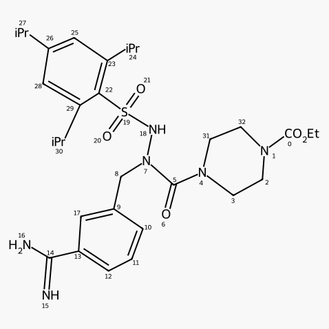 CCOC(=O)N1CCN(C(=O)N(Cc2cccc(C(=N)N)c2)NS(=O)(=O)c2c(C(C)C)cc(C(C)C)cc2C(C)C)CC1